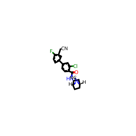 N#CCc1cc(-c2ccc(C(=O)N[C@@H]3C[C@@H]4CC[C@H]3N4C#N)c(Cl)c2)ccc1F